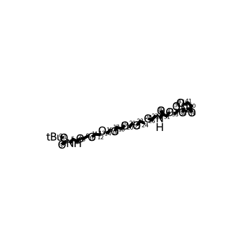 CC(C)(C)OC(=O)NCCOCCOCCOCCOCCOCCOCCOCCNC(=O)COCC(=O)ON1C(=O)CCC1=O